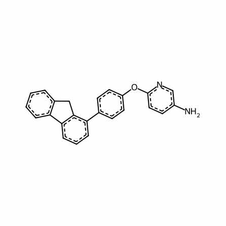 Nc1ccc(Oc2ccc(-c3cccc4c3Cc3ccccc3-4)cc2)nc1